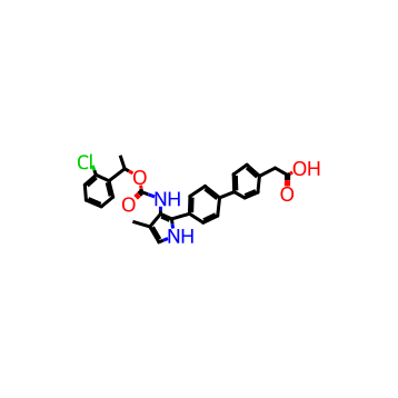 Cc1c[nH]c(-c2ccc(-c3ccc(CC(=O)O)cc3)cc2)c1NC(=O)OC(C)c1ccccc1Cl